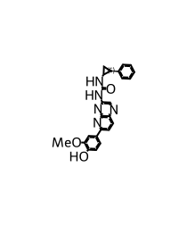 COc1cc(-c2ccc3ncc(NC(=O)NC4C[C@H]4c4ccccc4)nc3n2)ccc1O